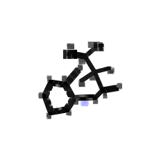 C=C(/C=c1/ccccc1=C)C(C)(C)C(=N)CC